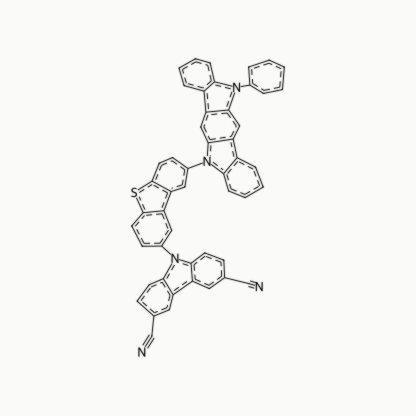 N#Cc1ccc2c(c1)c1cc(C#N)ccc1n2-c1ccc2sc3ccc(-n4c5ccccc5c5cc6c(cc54)c4ccccc4n6-c4ccccc4)cc3c2c1